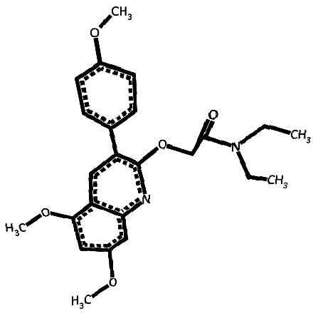 CCN(CC)C(=O)COc1nc2cc(OC)cc(OC)c2cc1-c1ccc(OC)cc1